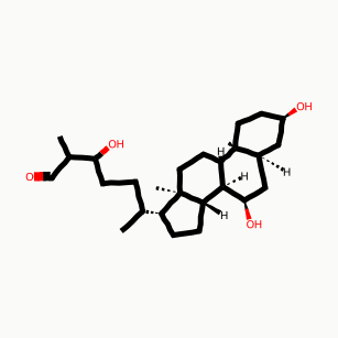 CC(C=O)C(O)CCC(C)[C@H]1CC[C@H]2[C@@H]3[C@H](O)C[C@@H]4C[C@H](O)CC[C@]4(C)[C@H]3CC[C@]12C